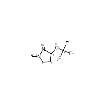 CN1CCC(OC(F)(F)F)[N]1